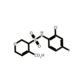 O=C(O)C1=CCOCC1S(=O)(=O)Nc1ccc(F)cc1Cl